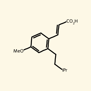 COc1ccc(/C=C/C(=O)O)c(CCC(C)C)c1